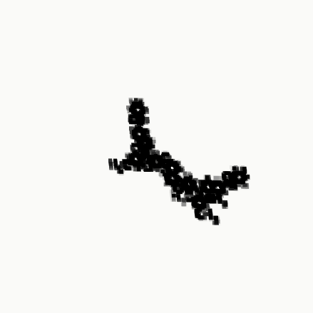 Cc1cc(C)c(N(c2ccc3cc(-c4cc5ccccc5o4)ccc3c2)c2ccc3c(c2)oc2ccc4c(ccc5oc6cc(N(c7ccc8cc(-c9cc%10ccccc%10o9)ccc8c7)c7c(C)cc(C)cc7C)ccc6c54)c23)c(C)c1